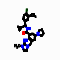 Cc1cc(C(NC(=O)c2cc(Cn3ccn(C)c3=N)cc(N3CCCC3)c2)C2CC2)ccc1F